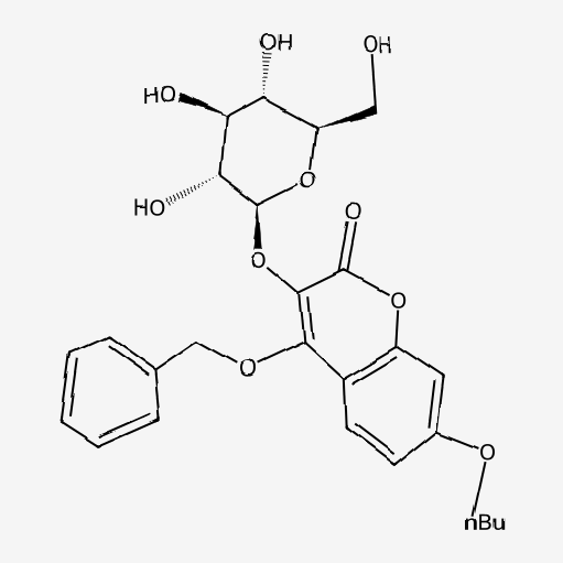 CCCCOc1ccc2c(OCc3ccccc3)c(O[C@@H]3O[C@H](CO)[C@@H](O)[C@H](O)[C@H]3O)c(=O)oc2c1